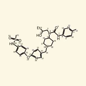 CCC(O)CN(C(=O)Nc1ccc(C)nc1)C1CCN(Cc2ccc(Oc3ccc(NS(C)(=O)=O)cc3)nc2)CC1